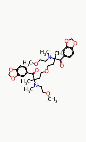 COCCN(C)C(C)(CCOCCC(C)(C(=O)c1ccc2c(c1)OCO2)N(C)CCOC)C(=O)c1ccc2c(c1)OCO2